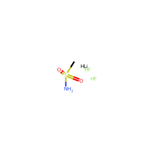 CS(N)(=O)=O.F.F.[LiH]